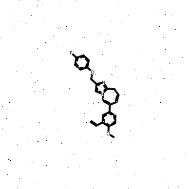 C=Cc1cc(C2=Cn3cc(COc4ccc(F)cc4)nc3CC=C2)ccc1OC